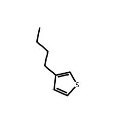 CCCCc1[c]csc1